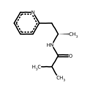 CC(C)C(=O)N[C@@H](C)Cc1ccccn1